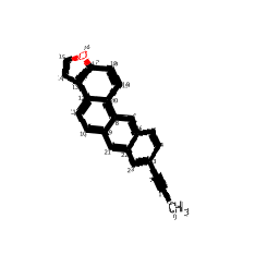 CC#Cc1ccc2cc3c(ccc4c5ccoc5ccc34)cc2c1